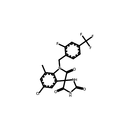 Cc1cc(Cl)cc2c1N(Cc1ccc(C(F)(F)F)cc1F)C(=O)C21NC(=O)NC1=O